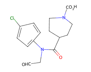 O=CCN(C(=O)C1CCN(C(=O)O)CC1)c1ccc(Cl)cc1